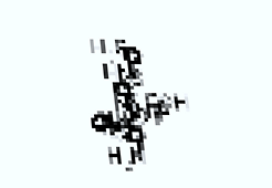 Cc1cccc(C(=O)Nc2ccc3nc(C(=O)C(NC(=O)c4ccccc4)c4ccc(CN)cc4)sc3c2)c1.O=C(O)C(F)(F)F